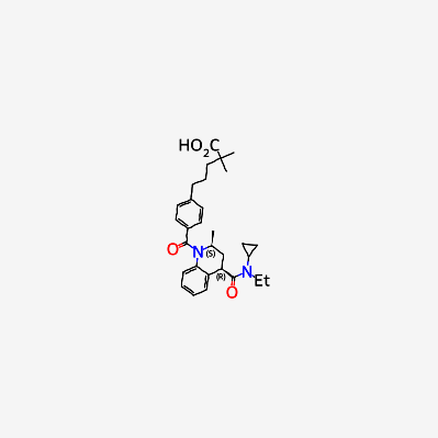 CCN(C(=O)[C@@H]1C[C@H](C)N(C(=O)c2ccc(CCCC(C)(C)C(=O)O)cc2)c2ccccc21)C1CC1